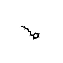 [Li][CH2]CCCCCc1ccccc1